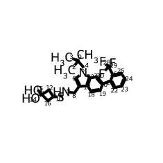 CC(C)(C)Cn1cc(CNSC2CC(O)(O)C2)c2ccc(-c3ccccc3C(F)(F)F)cc21